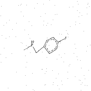 CPCc1ccc(F)cc1